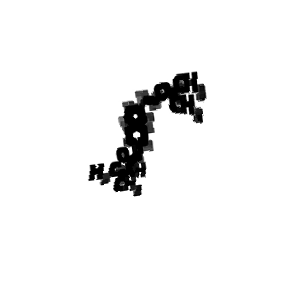 CC(C)NC(=O)CN1CCC2(CC[C@H](CCOC(C)C)C2)CC1